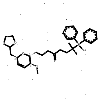 CO[C@H]1C=C[C@@H](CC2OCCO2)O[C@@H]1CCCC(=O)CCC(C)(C)[Si](O)(c1ccccc1)c1ccccc1